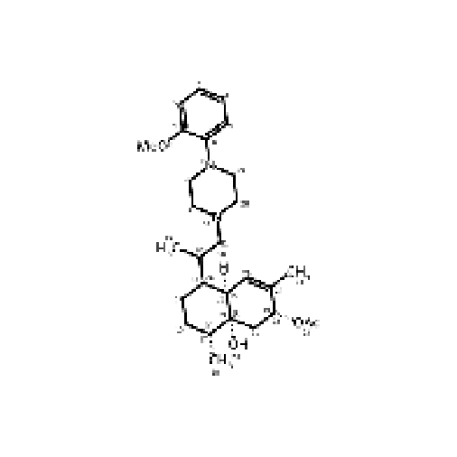 COc1ccccc1N1CCN(CC(C)[C@@H]2CC[C@@H](C)[C@]3(O)[CH][C@@H](OC(C)=O)C(C)=C[C@H]23)CC1